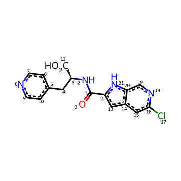 O=C(N[C@@H](Cc1ccncc1)C(=O)O)c1cc2cc(Cl)ncc2[nH]1